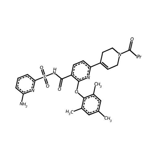 Cc1cc(C)c(Oc2nc(C3=CCN(C(=O)C(C)C)CC3)ccc2C(=O)NS(=O)(=O)c2cccc(N)n2)c(C)c1